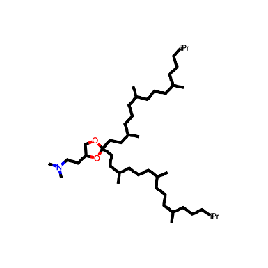 CC(C)CCCC(C)CCCC(C)CCCC(C)CCC1(CCC(C)CCCC(C)CCCC(C)CCCC(C)C)OCC(CCN(C)C)O1